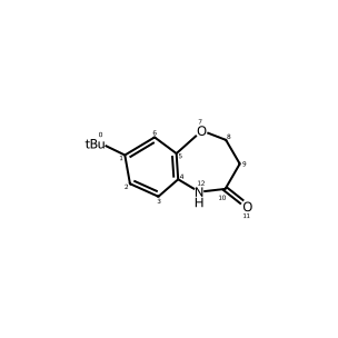 CC(C)(C)c1ccc2c(c1)OCCC(=O)N2